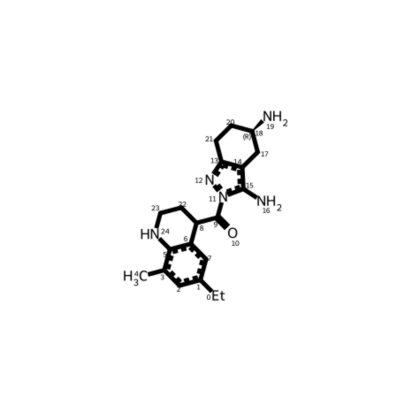 CCc1cc(C)c2c(c1)C(C(=O)n1nc3c(c1N)C[C@H](N)CC3)CCN2